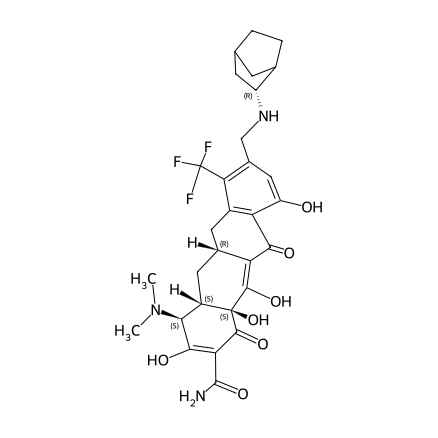 CN(C)[C@@H]1C(O)=C(C(N)=O)C(=O)[C@@]2(O)C(O)=C3C(=O)c4c(O)cc(CN[C@@H]5CC6CCC5C6)c(C(F)(F)F)c4C[C@H]3C[C@@H]12